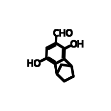 O=Cc1cc(O)c2c(c1O)C1CCC2C1